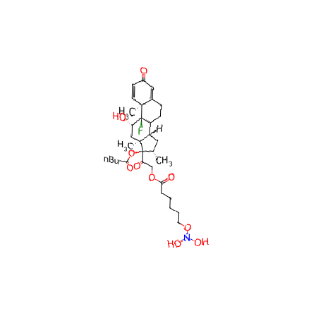 CCCCC(=O)O[C@]1(C(=O)COC(=O)CCCCCON(O)O)[C@@H](C)C[C@H]2C3CCC4=CC(=O)C=C[C@]4(C)[C@@]3(F)[C@@H](O)C[C@@]21C